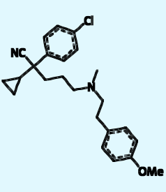 COc1ccc(CCN(C)CCCC(C#N)(c2ccc(Cl)cc2)C2CC2)cc1